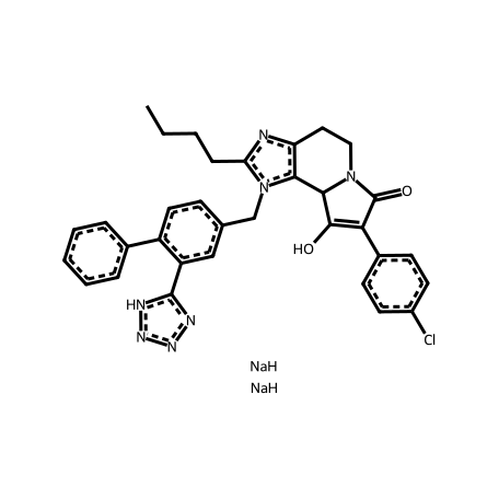 CCCCc1nc2c(n1Cc1ccc(-c3ccccc3)c(-c3nnn[nH]3)c1)C1C(O)=C(c3ccc(Cl)cc3)C(=O)N1CC2.[NaH].[NaH]